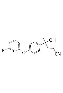 CC(O)(CCC#N)c1ccc(Oc2cccc(F)c2)cc1